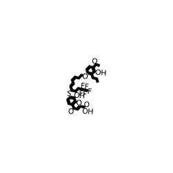 CCCc1c(OCC/C=C\C=C\[C@H](Sc2ccc3c(=O)cc(C(=O)O)oc3c2)[C@H](O)CC(F)(F)C(F)(F)F)ccc(C(C)=O)c1O